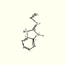 Cn1/c(=N/C=N)[nH]c2ccccc21